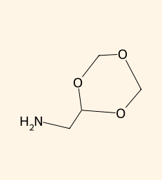 NCC1OCOCO1